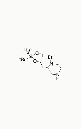 CCN1CCNCC1CCO[Si](C)(C)C(C)(C)C